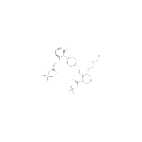 CCOCOC1CCCN(C(=O)OC(C)(C)C)C1COC1CCC(c2c(F)cccc2OCC(=O)OC(C)(C)C)CC1